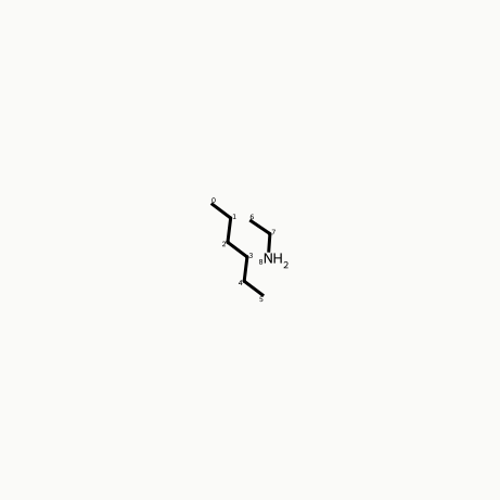 CCCCCC.CCN